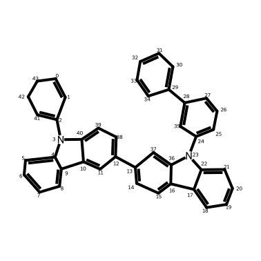 C1=CC(n2c3ccccc3c3cc(-c4ccc5c6ccccc6n(-c6cccc(-c7ccccc7)c6)c5c4)ccc32)=CCC1